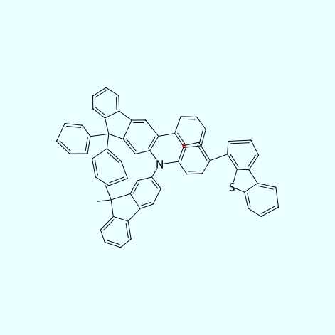 CC1(C)c2ccccc2-c2ccc(N(c3ccc(-c4cccc5c4sc4ccccc45)cc3)c3cc4c(cc3-c3ccccc3)-c3ccccc3C4(c3ccccc3)c3ccccc3)cc21